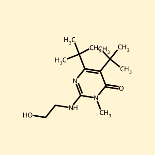 Cn1c(NCCO)nc(C(C)(C)C)c(C(C)(C)C)c1=O